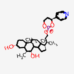 C[C@H](CCO[P@@]1(=O)OCC[C@@H](c2ccncc2)O1)[C@H]1CCC2C3C(CC[C@@]21C)[C@@]1(C)CC[C@@H](O)CC1[C@@H](C)[C@H]3O